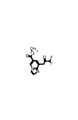 COC(=O)c1cc(CC(=O)C(F)F)c2nccn2c1